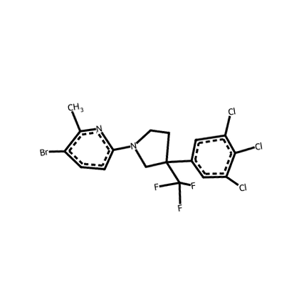 Cc1nc(N2CCC(c3cc(Cl)c(Cl)c(Cl)c3)(C(F)(F)F)C2)ccc1Br